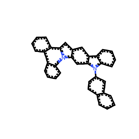 c1ccc2cc(-n3c4ccccc4c4cc5cc6c7ccccc7c7ccccc7n6c5cc43)ccc2c1